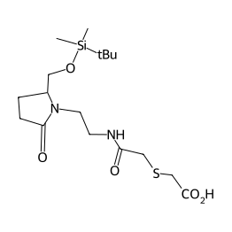 CC(C)(C)[Si](C)(C)OCC1CCC(=O)N1CCNC(=O)CSCC(=O)O